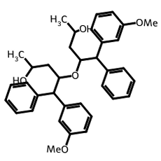 COc1cccc(C(c2ccccc2)C(CC(C)O)OC(CC(C)O)C(c2ccccc2)c2cccc(OC)c2)c1